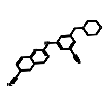 C#Cc1ccc2nc(Nc3cc(C#N)cc(CN4CCOCC4)c3)ncc2c1